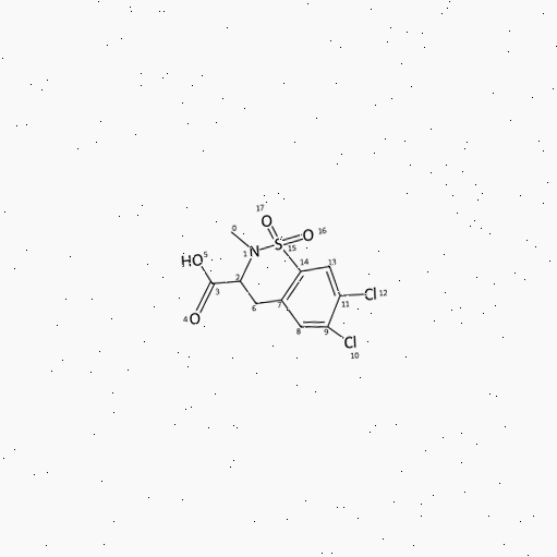 CN1C(C(=O)O)Cc2cc(Cl)c(Cl)cc2S1(=O)=O